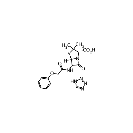 CC1(C)S[C@@H]2[C@H](NC(=O)COc3ccccc3)C(=O)N2[C@H]1C(=O)O.c1nnn[nH]1